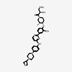 COC[C@@H](O)C(=O)N1CC[C@H](Oc2ccc(-c3nccc(Nc4ccc(N5CCN(C6COC6)CC5)cc4)n3)cc2C#N)[C@H](F)C1